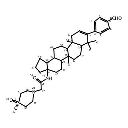 CC1(C)C(c2ccc(C=O)cc2)=CCC2(C)C1CCC1(C)C3CCC4(NC(=O)CN5CCS(=O)(=O)CC5)CCCC4C3CCC12